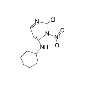 O=[N+]([O-])N1C(NC2CCCCC2)=CC=NC1Cl